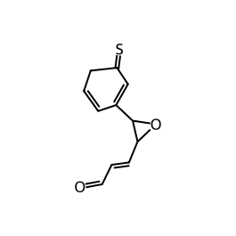 O=CC=CC1OC1C1=CC(=S)CC=C1